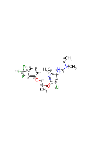 CCN(C)/C=N/c1cc(Cl)c(OC(C)COc2cccc(C(F)(F)F)c2)nc1C